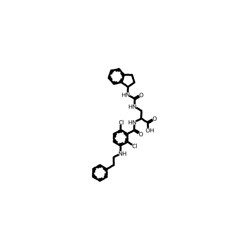 O=C(NCC(NC(=O)c1c(Cl)ccc(NCCc2ccccc2)c1Cl)C(=O)O)NC1CCc2ccccc21